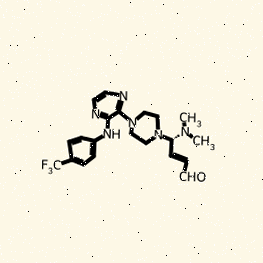 CN(C)[C@H](C=CC=O)N1CCN(c2nccnc2Nc2ccc(C(F)(F)F)cc2)CC1